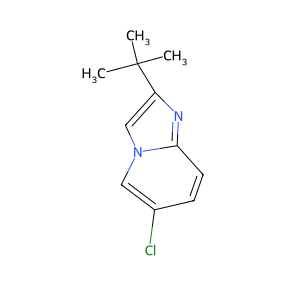 CC(C)(C)c1cn2cc(Cl)ccc2n1